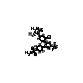 CN(C(N)=S)c1ccc(-c2cc(C(F)(F)F)nn2-c2ccc(S(N)(=O)=O)cc2)c(Cl)c1